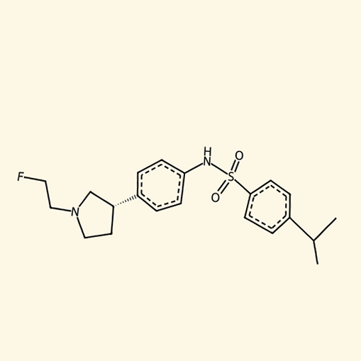 CC(C)c1ccc(S(=O)(=O)Nc2ccc([C@@H]3CCN(CCF)C3)cc2)cc1